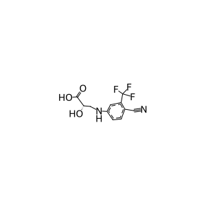 N#Cc1ccc(NC[C@H](O)C(=O)O)cc1C(F)(F)F